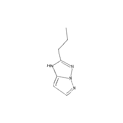 CCCc1nn2nccc2[nH]1